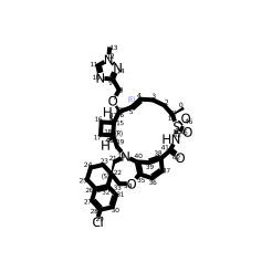 C[C@@H]1CC/C=C/[C@H](OCc2ncn(C)n2)[C@@H]2CC[C@H]2CN2C[C@@]3(CCCc4cc(Cl)ccc43)COc3ccc(cc32)C(=O)NS1(=O)=O